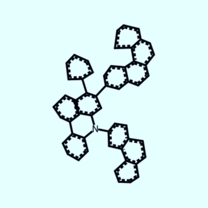 c1ccc(-c2ccc(N(c3ccc4ccc5ccccc5c4c3)c3ccccc3-c3ccccc3)cc2-c2ccc3c(ccc4ccc5ccccc5c43)c2)cc1